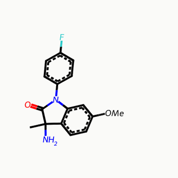 COc1ccc2c(c1)N(c1ccc(F)cc1)C(=O)C2(C)N